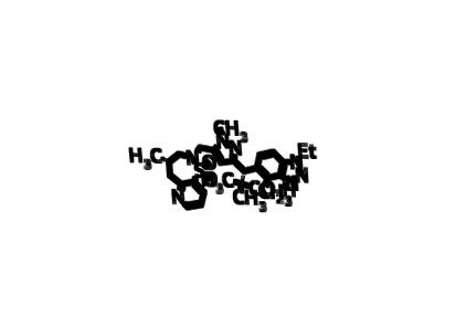 CCn1nnc2c(C)c([C@@H](c3cc(CN4C[C@@H](C)Cc5ncccc5S4(=O)=O)n(C)n3)C(C)(C)C(=O)O)ccc21